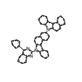 c1ccc(-c2nc(-n3c4ccccc4c4c5ccc(-n6c7ccccc7c7c8ccccc8ccc76)cc5ccc43)nc3ccccc23)cc1